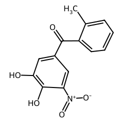 Cc1ccccc1C(=O)c1cc(O)c(O)c([N+](=O)[O-])c1